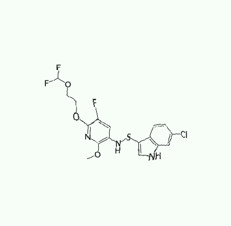 COc1nc(OCCOC(F)F)c(F)cc1NSc1c[nH]c2cc(Cl)ccc12